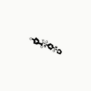 O=C(NS(=O)(=O)c1ccc(S(=O)(=O)N2CCCC2)cc1)c1ccc(Cl)cc1